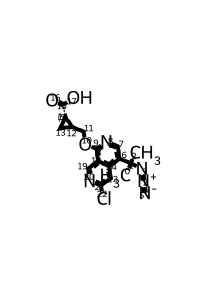 CC(C)(N=[N+]=[N-])c1cnc(OCC2C[C@@H]2C(=O)O)c2cnc(Cl)cc12